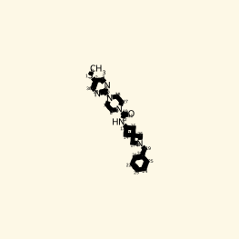 CSc1cnc(N2CCN(C(=O)NC3CC4(C3)CN(Cc3ccccc3)C4)CC2)nc1